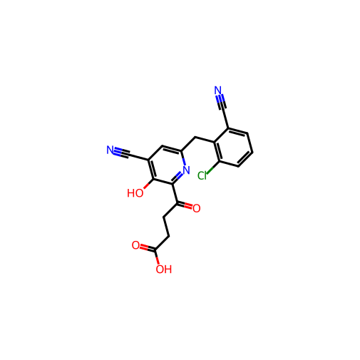 N#Cc1cc(Cc2c(Cl)cccc2C#N)nc(C(=O)CCC(=O)O)c1O